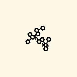 c1ccc(-c2nc3ccccc3nc2-c2cccc3c(-n4c5ccc6c(-c7ccccc7)cccc6c5c5c6ccccc6c(-c6ccccc6)cc54)cccc23)cc1